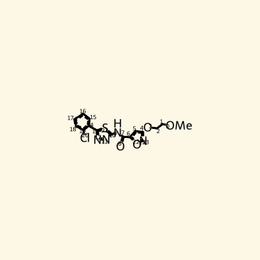 COCCOc1cc(C(=O)Nc2nnc(-c3ccccc3Cl)s2)on1